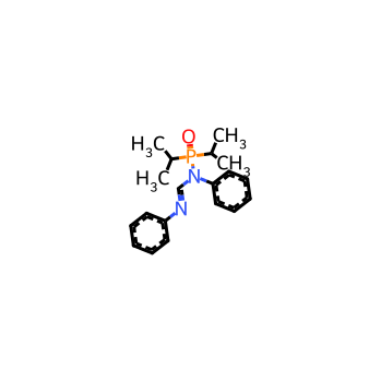 CC(C)P(=O)(C(C)C)N(C=Nc1ccccc1)c1ccccc1